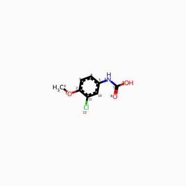 COc1ccc(NC(=O)O)cc1Cl